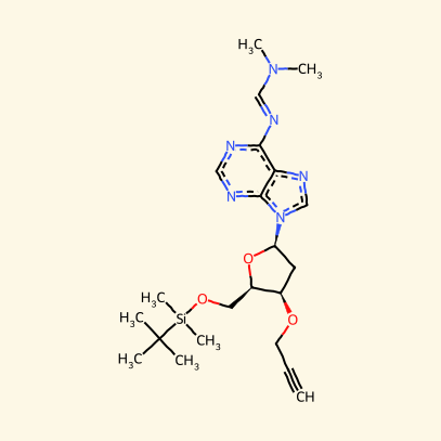 C#CCO[C@@H]1C[C@H](n2cnc3c(/N=C/N(C)C)ncnc32)O[C@@H]1CO[Si](C)(C)C(C)(C)C